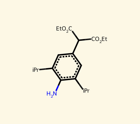 CCOC(=O)C(C(=O)OCC)c1cc(C(C)C)c(N)c(C(C)C)c1